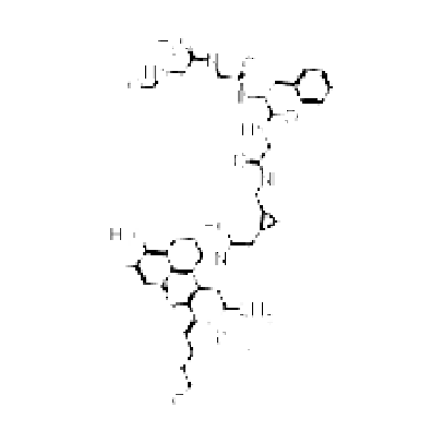 C=C(CNCO)NCC(=O)N[C@@H](Cc1ccccc1)C(O)NCC(=O)NCC1CC1CC(O)N[C@H]1CCc2c(C)c(F)cc3nc(/C=C/CCCO)c(CC(C)OC)c1c23